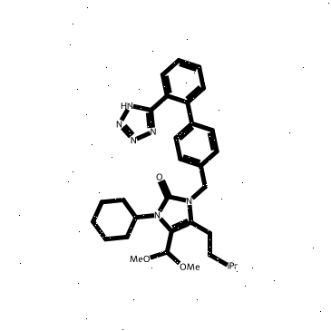 COC(OC)c1c(CCC(C)C)n(Cc2ccc(-c3ccccc3-c3nnn[nH]3)cc2)c(=O)n1C1CCCCC1